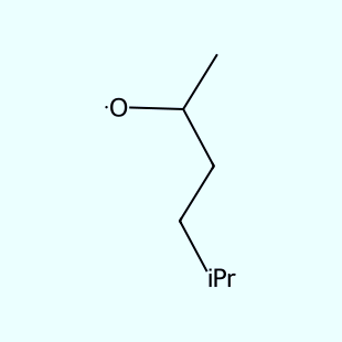 CC(C)CCC(C)[O]